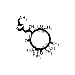 C/C(=C\c1csc(CN)n1)C1C[C@@H]2O[C@]2(C)CCCC(C)[C@H](O)[C@@H](C)C(=O)C(C)(C)[C@@H](O)CC(=O)O1